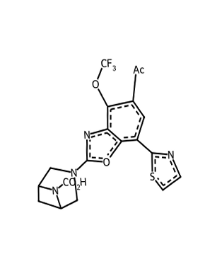 CC(=O)c1cc(-c2nccs2)c2oc(N3CC4CC(C3)N4C(=O)O)nc2c1OC(F)(F)F